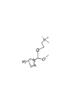 COC(OCC[Si](C)(C)C)n1cc(O)cn1